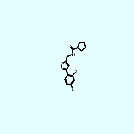 O=C(NCc1cc(-c2ccc(Cl)cc2Cl)no1)C1CCCC1